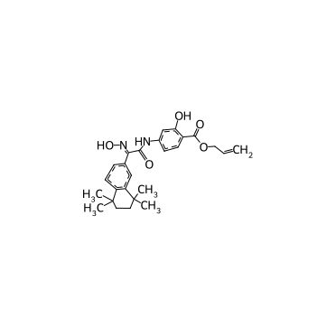 C=CCOC(=O)c1ccc(NC(=O)/C(=N/O)c2ccc3c(c2)C(C)(C)CCC3(C)C)cc1O